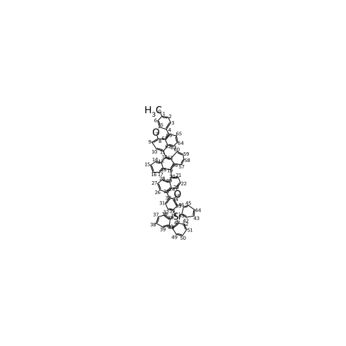 Cc1ccc2c(c1)Oc1ccc(-c3c4ccccc4c(-c4ccc5c6c(cccc46)-c4ccc([Si](c6ccccc6)(c6ccccc6)c6ccccc6)cc4O5)c4ccccc34)c3cccc-2c13